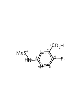 CSNc1cc(C(=O)O)c(F)cn1